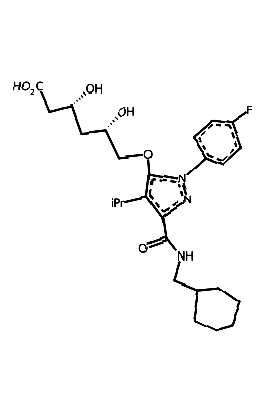 CC(C)c1c(C(=O)NCC2CCCCC2)nn(-c2ccc(F)cc2)c1OC[C@@H](O)C[C@@H](O)CC(=O)O